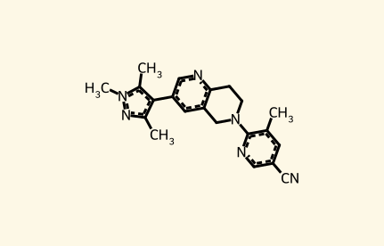 Cc1cc(C#N)cnc1N1CCc2ncc(-c3c(C)nn(C)c3C)cc2C1